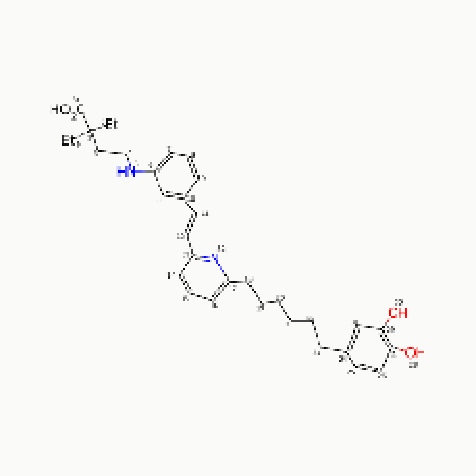 CCC(CC)(CCNc1cccc(C=Cc2cccc(CCCCCCc3ccc(O)c(O)c3)n2)c1)C(=O)O